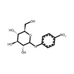 O=[N+]([O-])c1ccc([N]C2O[C@H](CO)[C@@H](O)[C@H](O)[C@H]2O)cc1